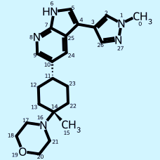 Cn1cc(-c2c[nH]c3ncc([C@H]4CC[C@@](C)(N5CCOCC5)CC4)cc23)cn1